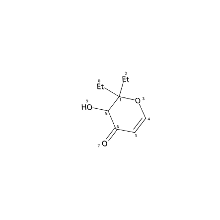 CCC1(CC)OC=CC(=O)C1O